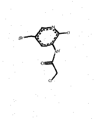 O=C(CCl)Nc1cc(Br)cnc1Cl